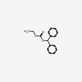 [CH2]COC(=O)OC(c1ccccc1)c1ccccc1